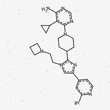 CC(C)c1cc(-c2cn(CCN3CCC3)c(C3CCN(c4ncnc(N)c4C4CC4)CC3)n2)ccn1